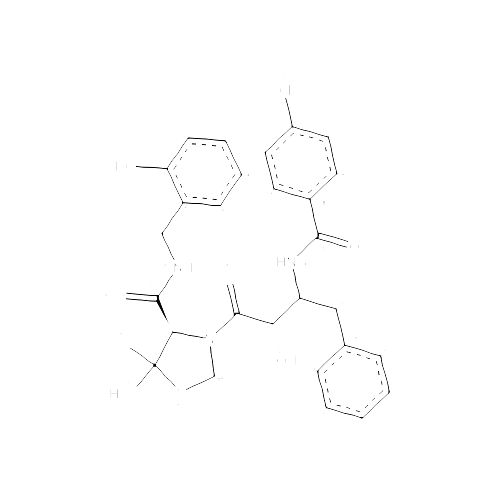 Cc1ccccc1CNC(=O)[C@H]1N(C(=O)[C@@H](O)C(Cc2ccccc2)NC(=O)c2ccc(Cl)cc2)CSC1(C)C